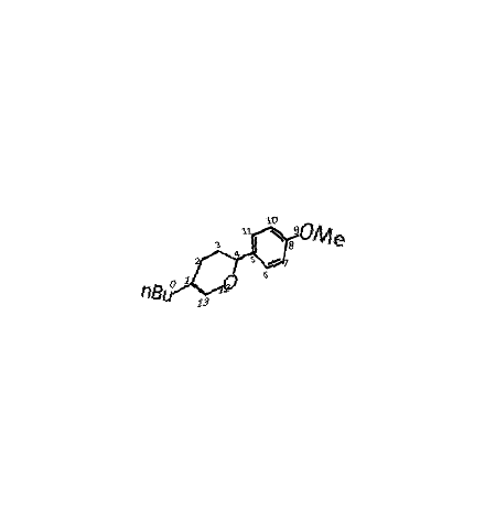 CCCCC1CCC(c2ccc(OC)cc2)OC1